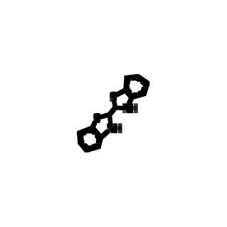 c1ccc2c(c1)NC(C1Nc3ccccc3S1)S2